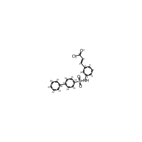 O=C(Cl)C=Cc1cccc(NS(=O)(=O)c2ccc(-c3ccccc3)cc2)c1